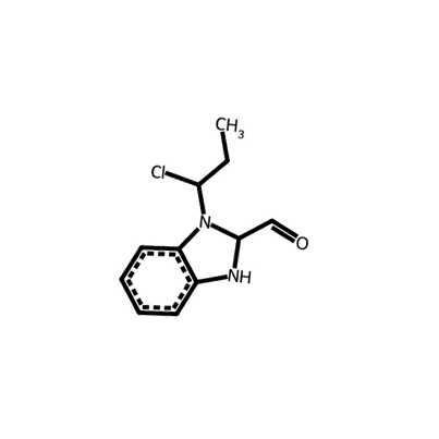 CCC(Cl)N1c2ccccc2NC1C=O